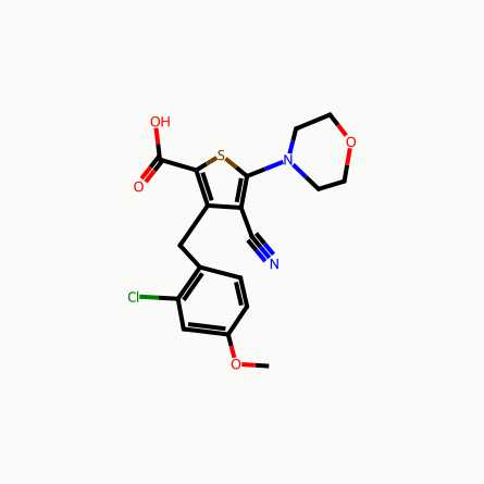 COc1ccc(Cc2c(C(=O)O)sc(N3CCOCC3)c2C#N)c(Cl)c1